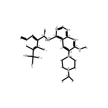 C=C/C=C(\C(F)=C(/C)C(F)(F)F)[C@@H](C)Nc1ncnc2nc(OC)c(N3CCN(C(C)C)CC3)cc12